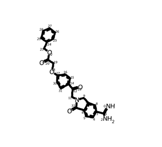 N=C(N)c1ccc2c(c1)CN(CC(=O)c1ccc(OCC(=O)OCc3ccccc3)cc1)C2=O